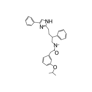 CC(C)Oc1cccc(CC(=O)N(C)CC(CCc2nc(-c3ccccc3)c[nH]2)c2ccccc2)c1